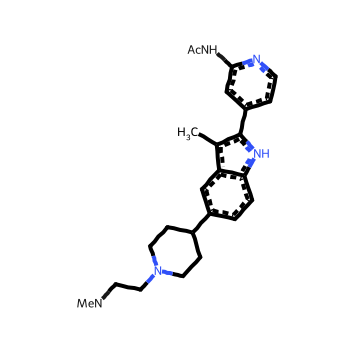 CNCCN1CCC(c2ccc3[nH]c(-c4ccnc(NC(C)=O)c4)c(C)c3c2)CC1